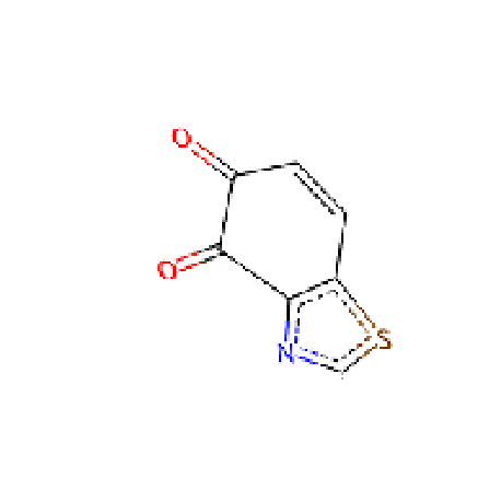 O=C1C=Cc2s[c]nc2C1=O